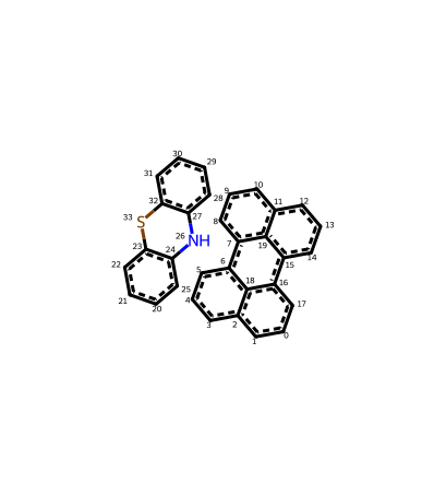 c1cc2cccc3c4cccc5cccc(c(c1)c23)c54.c1ccc2c(c1)Nc1ccccc1S2